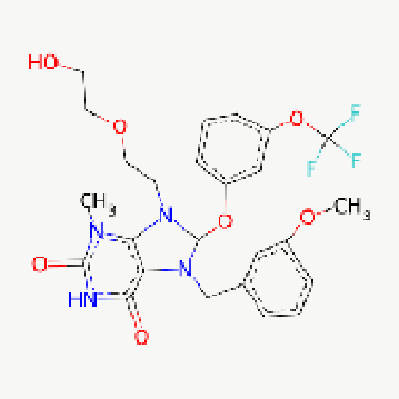 COc1cccc(CN2c3c(n(C)c(=O)[nH]c3=O)N(CCOCCO)C2Oc2cccc(OC(F)(F)F)c2)c1